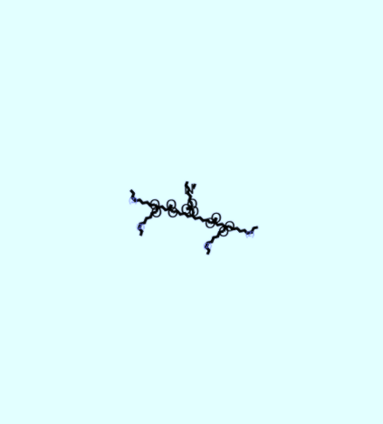 CC/C=C\CCCCOC(CCC(=O)OCCCCC(CCCCOC(=O)CCC(OCCCC/C=C\CC)OCCCC/C=C\CC)OC(=O)OCCCN(CC)CC)OCCCC/C=C\CC